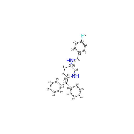 Fc1ccc(CN[C@@H]2CC[C@H](C(c3ccccc3)c3ccccc3)NC2)cc1